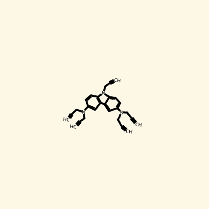 C#CCN(CC#C)c1ccc2c(c1)c1cc(N(CC#C)CC#C)ccc1n2CC#C